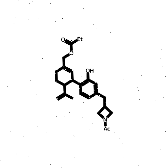 C=C(C)C1CCC(COC(=O)CC)=CC1c1ccc(CC2CN(C(C)=O)C2)cc1O